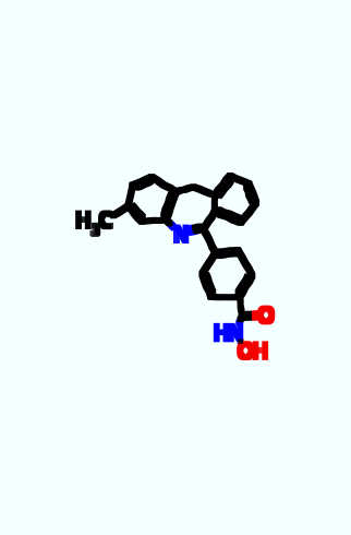 Cc1ccc2c(c1)N=C(c1ccc(C(=O)NO)cc1)c1ccccc1C2